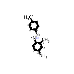 Cc1ccc(/N=N/c2ccc(N)cc2C)cc1